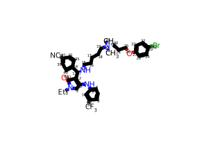 CCN1CC(Nc2cccc(C(F)(F)F)c2)=C([C@H](NCCCCC[N+](C)(C)CCCOc2ccc(Br)cc2)c2ccc(C#N)cc2)C1=O